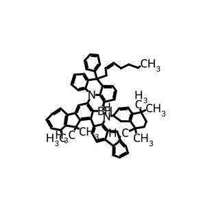 CCCC/C=C\CC1(c2ccccc2)c2ccccc2N2c3cc4c(c(-c5ccc6c(c5NC5C=CC7=C(C5)C(C)(C)CCC7(C)C)Cc5ccccc5-6)c3Bc3cccc1c32)C(C)(C)C1=C4C=CC=CC1C